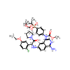 CCOc1ccc(F)c([C@H](Nc2ccc3c(N)nccc3c2)C(=O)N2CC[C@H](C(=O)OC)[C@@H]2c2cc(NC(=O)OC)ccc2S(=O)(=O)C(C)C)c1